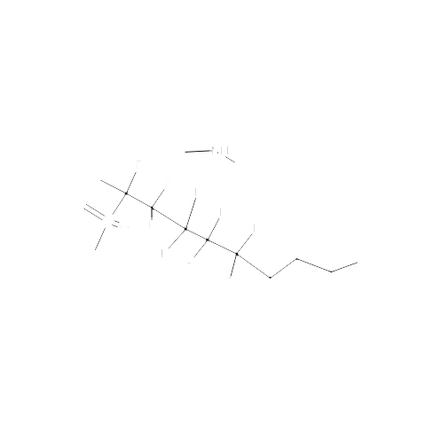 CCCCC(F)(F)C(F)(F)C(F)(F)C(F)(F)C(F)(F)S(=O)(=O)O.CNC